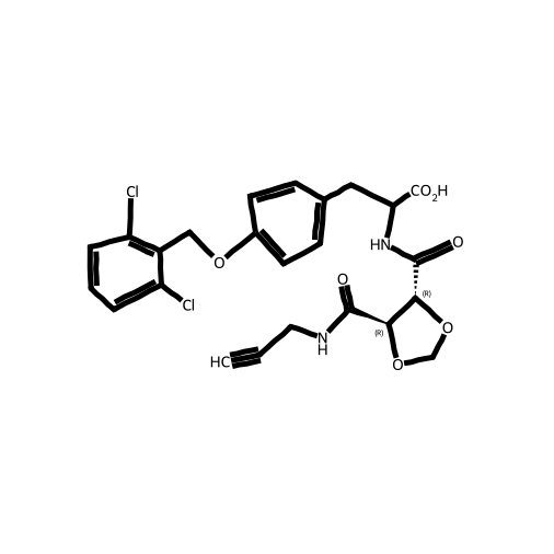 C#CCNC(=O)[C@@H]1OCO[C@H]1C(=O)NC(Cc1ccc(OCc2c(Cl)cccc2Cl)cc1)C(=O)O